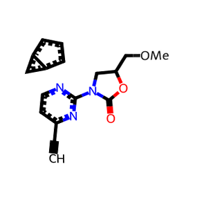 C#Cc1ccnc(N2CC(COC)OC2=O)n1.c1cc2cc-2c1